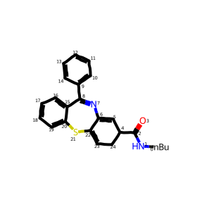 CCCCNC(=O)C1C=C2N=C(c3ccccc3)c3ccccc3SC2=CC1